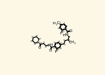 Cc1ccc(C(=O)NCC(C)CCc2ccc(C(=O)NCCC(=O)N3CCCCC3)c(F)c2)c(F)c1